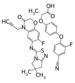 C#CCN1C(=O)COc2cc(F)c(/N=c3\snc4n3CC(C)(C)C4)cc21.C[C@@H](Oc1ccc(Oc2ccc(C#N)cc2F)cc1)C(=O)O